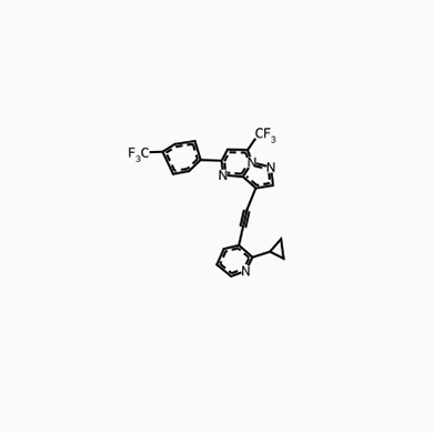 FC(F)(F)c1ccc(-c2cc(C(F)(F)F)n3ncc(C#Cc4cccnc4C4CC4)c3n2)cc1